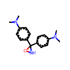 CN(C)c1ccc(C2(c3ccc(N(C)C)cc3)NO2)cc1